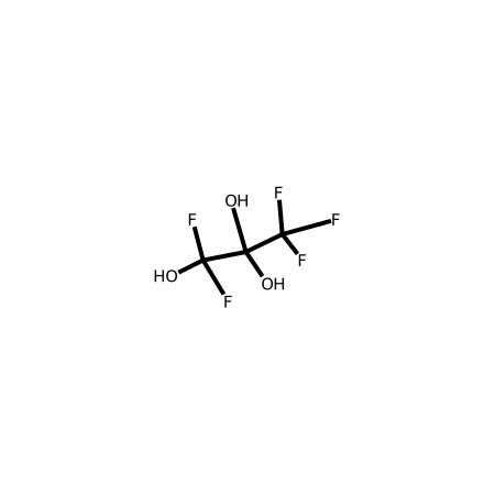 OC(F)(F)C(O)(O)C(F)(F)F